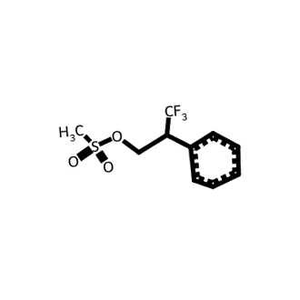 CS(=O)(=O)OCC(c1ccccc1)C(F)(F)F